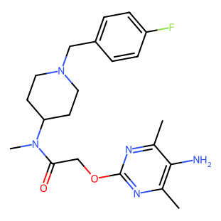 Cc1nc(OCC(=O)N(C)C2CCN(Cc3ccc(F)cc3)CC2)nc(C)c1N